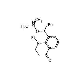 CCN1CCC(=O)c2cccc(C(O[SiH](C)C)C(C)(C)C)c21